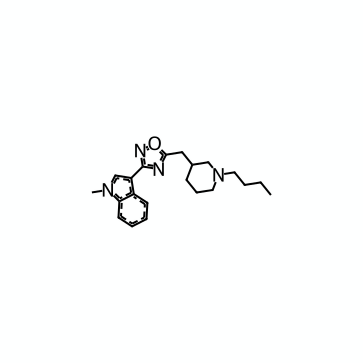 CCCCN1CCCC(Cc2nc(-c3cn(C)c4ccccc34)no2)C1